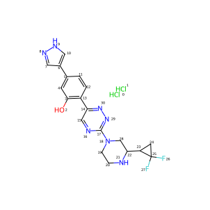 Cl.Cl.Oc1cc(-c2cn[nH]c2)ccc1-c1cnc(N2CCNC(C3CC3(F)F)C2)nn1